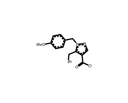 COc1ccc(Cn2ncc(C(=O)Cl)c2CC(C)C)cc1